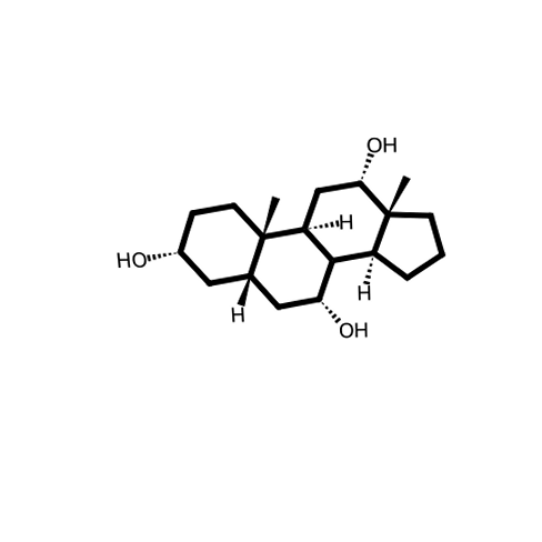 C[C@]12CC[C@@H](O)C[C@H]1C[C@@H](O)C1[C@@H]2C[C@H](O)[C@]2(C)CCC[C@@H]12